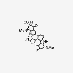 CNc1cc(F)c(F)c2c1[nH]c1ncc(-c3cnc4c(c3)c(=O)c(C(=O)O)cn4NC)c(N3CCC4C3CCN4C)c12